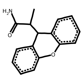 CC(C(N)=O)C1c2ccccc2Oc2ccccc21